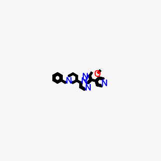 COc1cnccc1-c1c(C)nn2c(C3CCCN(Cc4ccccc4)C3)ccnc12